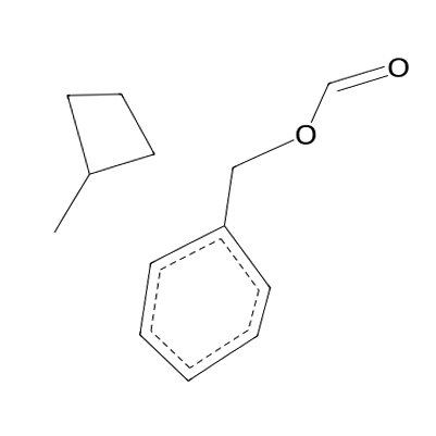 CC1CCC1.O=COCc1ccccc1